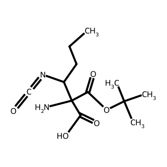 CCCC(N=C=O)C(N)(C(=O)O)C(=O)OC(C)(C)C